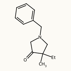 CCC1(C)CN(Cc2ccccc2)CC1=O